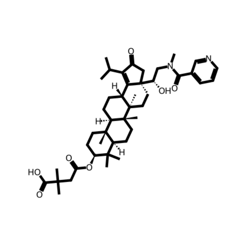 CC(C)C1=C2[C@H]3CC[C@@H]4[C@@]5(C)CC[C@H](OC(=O)CC(C)(C)C(=O)O)C(C)(C)[C@@H]5CC[C@@]4(C)[C@]3(C)CC[C@@]2([C@@H](O)CN(C)C(=O)c2cccnc2)CC1=O